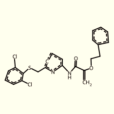 C=C(OCCc1ccccc1)C(=O)Nc1cccc(CSc2c(Cl)cccc2Cl)n1